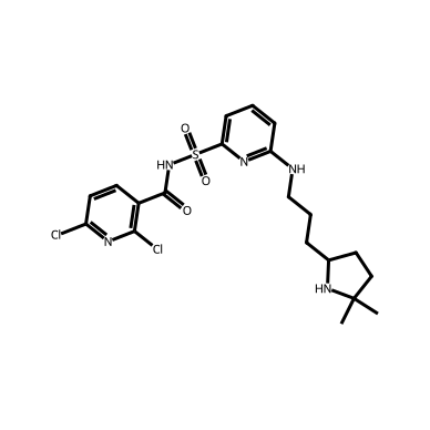 CC1(C)CCC(CCCNc2cccc(S(=O)(=O)NC(=O)c3ccc(Cl)nc3Cl)n2)N1